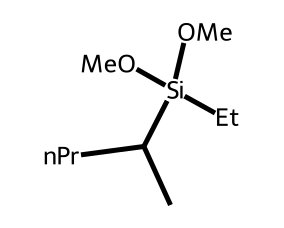 [CH2]CCC(C)[Si](CC)(OC)OC